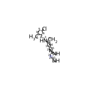 C=C(NCCc1cc(Cl)ccc1C)N1CC2(C1)CN(C(=N)/C=C\C=N)C2